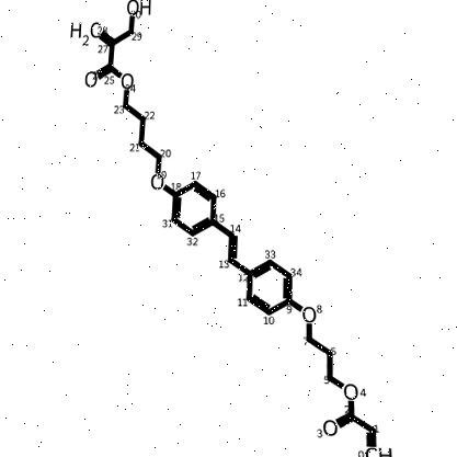 C=CC(=O)OCCCOc1ccc(/C=C/c2ccc(OCCCCOC(=O)C(=C)CO)cc2)cc1